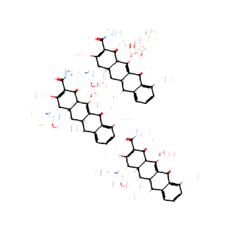 CCO.C[C@H]1c2cccc(O)c2C(=O)C2=C(O)[C@]3(O)C(=O)C(C(N)=O)=C(O)[C@@H](N(C)C)[C@@H]3[C@@H](O)[C@@H]21.C[C@H]1c2cccc(O)c2C(=O)C2=C(O)[C@]3(O)C(=O)C(C(N)=O)=C(O)[C@@H](N(C)C)[C@@H]3[C@@H](O)[C@@H]21.C[C@H]1c2cccc(O)c2C(=O)C2=C(O)[C@]3(O)C(=O)C(C(N)=O)=C(O)[C@@H](N(C)C)[C@@H]3[C@@H](O)[C@@H]21.Cl.Cl.O.O